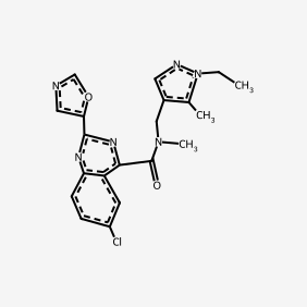 CCn1ncc(CN(C)C(=O)c2nc(-c3cnco3)nc3ccc(Cl)cc23)c1C